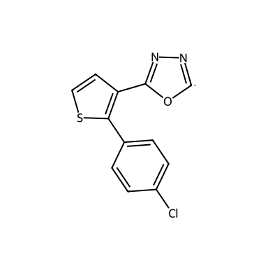 Clc1ccc(-c2sccc2-c2nn[c]o2)cc1